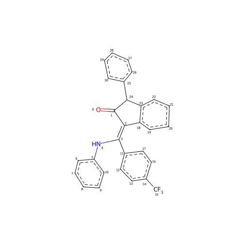 O=C1/C(=C(\Nc2ccccc2)c2ccc(C(F)(F)F)cc2)c2ccccc2C1c1ccccc1